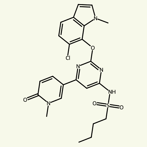 CCCCS(=O)(=O)Nc1cc(-c2ccc(=O)n(C)c2)nc(Oc2c(Cl)ccc3ccn(C)c23)n1